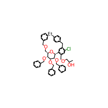 CCc1ccc(Cc2cc([C@@H]3O[C@H](COCc4ccccc4)[C@@H](OCc4ccccc4)[C@H](OCc4ccccc4)[C@H]3OCc3ccccc3)c(COCC(C)O)cc2Cl)cc1